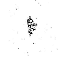 CCCN(C(=O)OC(C)(C)C)[C@H]1CCC1N(C(=O)OCC)C1CCC(=O)NC1=O